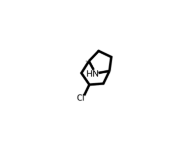 ClC1C[C]2CCC(C1)N2